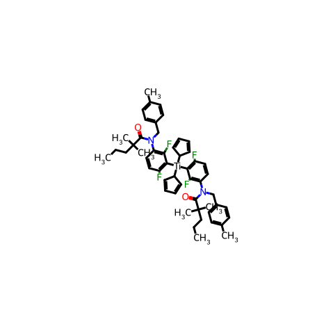 CCCC(C)(C)C(=O)N(Cc1ccc(C)cc1)c1ccc(F)[c]([Ti]([c]2c(F)ccc(N(Cc3ccc(C)cc3)C(=O)C(C)(C)CCC)c2F)([CH]2C=CC=C2)[CH]2C=CC=C2)c1F